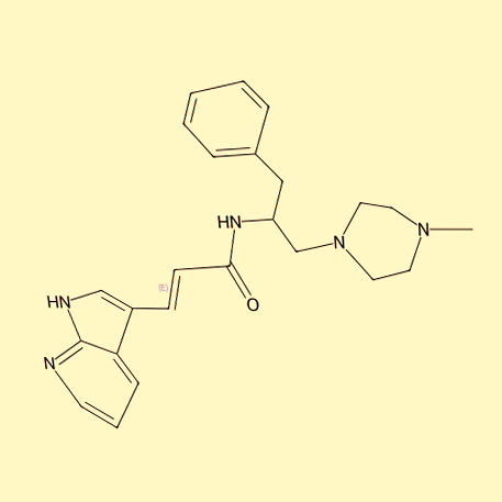 CN1CCN(CC(Cc2ccccc2)NC(=O)/C=C/c2c[nH]c3ncccc23)CC1